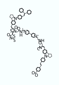 [C-]#[N+]/C(=C\c1ccc2c(c1)C1CCCC1N2c1ccc(/C=C/c2ccc(C(=O)OC)cc2)cc1)CONCC[n+]1ccc(-c2cc[n+](C(C)NC(=O)Cn3c(=O)/c(=C\c4ccc5c(c4)C4CCCC4N5c4ccc(C=C(c5ccccc5)c5ccccc5)cc4)s/c3=C3/SC(=S)N(C)C3=O)cc2)cc1